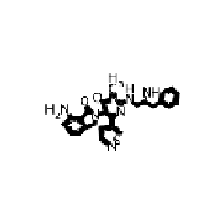 Cn1c(NC[C@H](N)Cc2ccccc2)nc(-c2ccncc2)c(N2Cc3cccc(N)c3C2=O)c1=O